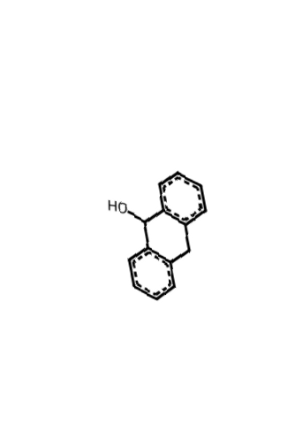 OC1c2ccccc2Cc2ccccc21